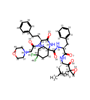 CC(C)C[C@H](NC(=O)[C@H](Cc1ccccc1)NC(=O)C1(NC(=O)[C@H](CCc2ccccc2)NC(=O)CN2CCOCC2)CCC(F)(F)CC1)C(=O)[C@@]1(C)CO1